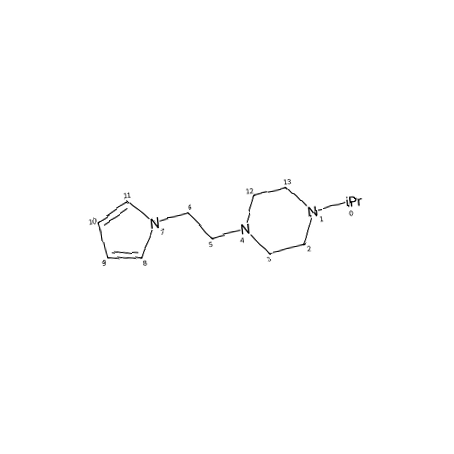 CC(C)N1CCN(CCn2cccc2)CC1